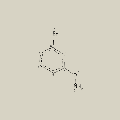 NOc1cccc(Br)c1